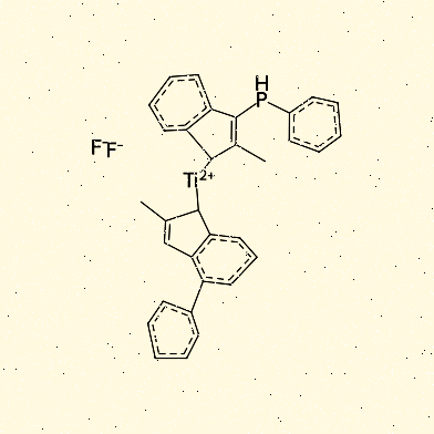 CC1=Cc2c(-c3ccccc3)cccc2[CH]1[Ti+2][CH]1C(C)=C(Pc2ccccc2)c2ccccc21.[F-].[F-]